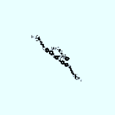 C=CC(=O)OCCCCCCOc1ccc(C2CCC(COc3ccc(OCC4CCC(c5ccc(OCCCCCCOC(=O)C=C)cc5)CC4)c(/C=N/N(CCOCCOC)c4nc5ccccc5s4)c3)CC2)cc1